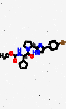 COC(=O)N[C@H](C(=O)N1CC=C[C@H]1c1nc(-c2ccc(Br)cc2)c[nH]1)C1CCCC1